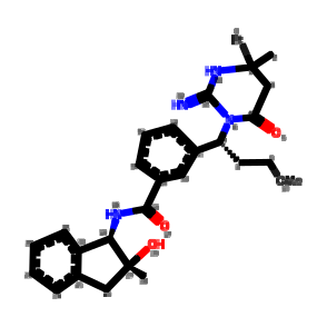 CCC1(C)CC(=O)N([C@H](CCOC)c2cccc(C(=O)N[C@@H]3c4ccccc4C[C@@]3(C)O)c2)C(=N)N1